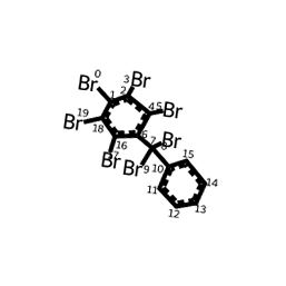 Brc1c(Br)c(Br)c(C(Br)(Br)c2ccccc2)c(Br)c1Br